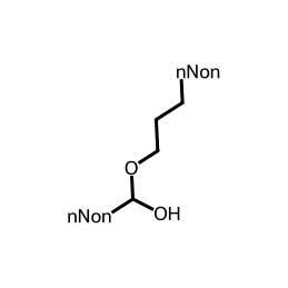 CCCCCCCCCCCCOC(O)CCCCCCCCC